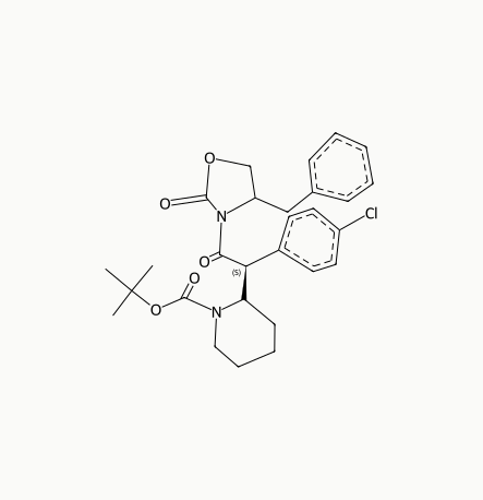 CC(C)(C)OC(=O)N1CCCCC1[C@@H](C(=O)N1C(=O)OCC1Cc1ccccc1)c1ccc(Cl)cc1